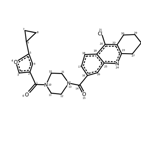 O=C(c1coc(C2CC2)c1)N1CCN(C(=O)c2ccc3c(Cl)c4c(nc3c2)CCCC4)CC1